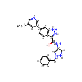 COc1cncc(-c2ccc3c(C(=O)Nc4cnn(Cc5ccccc5)c4)n[nH]c3c2)c1